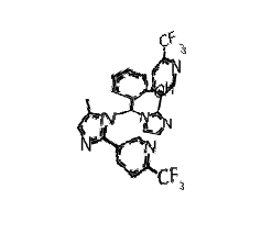 Cc1cnc(-c2ccc(C(F)(F)F)nc2)n1C(c1ccccc1O)n1ccnc1-c1ccc(C(F)(F)F)nc1